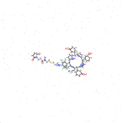 C=Cc1nc(C)c(-c2c(F)c(F)c(NCCSSCCNC(=O)CCN3C(=O)C=CC3=O)c(F)c2F)c2ccc([nH]2)c(-c2cccc(O)c2)c2nc(c(-c3cccc(O)c3)c3ccc([nH]3)c1-c1cccc(O)c1)C=C2